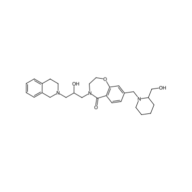 O=C1c2ccc(CN3CCCCC3CO)cc2OCCN1CC(O)CN1CCc2ccccc2C1